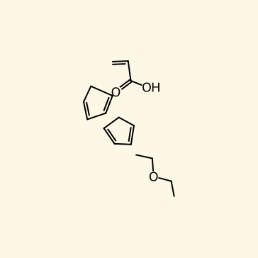 C1=CCC=C1.C1=CCC=C1.C=CC(=O)O.CCOCC